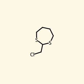 ClCC1SCCCCS1